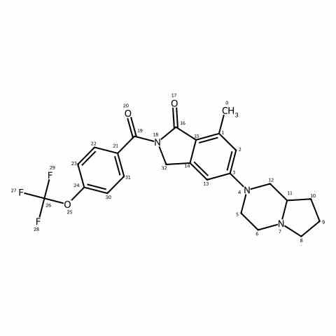 Cc1cc(N2CCN3CCCC3C2)cc2c1C(=O)N(C(=O)c1ccc(OC(F)(F)F)cc1)C2